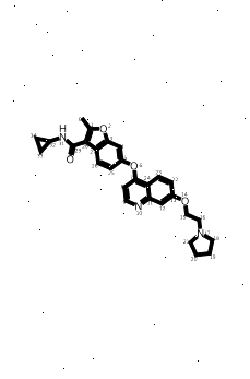 Cc1oc2cc(Oc3ccnc4cc(OCCN5CCCC5)ccc34)ccc2c1C(=O)NC1CC1